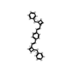 C(=Cc1ccc(C=CC2=CCC2Cc2ccccc2)cc1)C1=CCC1Cc1ccccc1